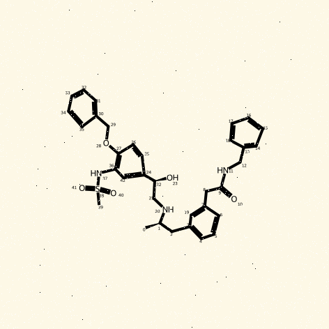 C[C@H](Cc1cccc(CC(=O)NCc2ccccc2)c1)NC[C@H](O)c1ccc(OCc2ccccc2)c(NS(C)(=O)=O)c1